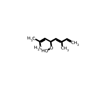 C=C/C(C)=C/C(C=C(C)C)OO